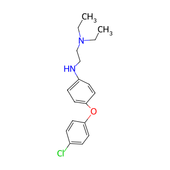 CCN(CC)CCNc1ccc(Oc2ccc(Cl)cc2)cc1